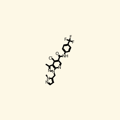 Cc1nn(Cc2ccnn2C)c2ncc(C(=O)Nc3ccc(C(F)(F)F)cc3)c(Cl)c12